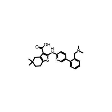 CN(C)Cc1ccccc1-c1ccc(Nc2sc3c(c2C(=O)O)CC(C)(C)CC3)nc1